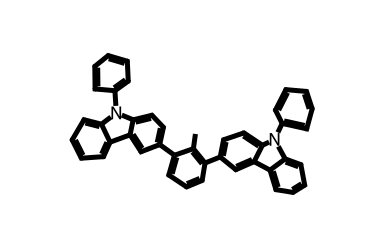 Cc1c(-c2ccc3c(c2)c2ccccc2n3-c2ccccc2)cccc1-c1ccc2c(c1)c1ccccc1n2-c1ccccc1